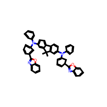 CC1(C)c2cc(N(C3=CC=CC(c4nc5ccccc5o4)C3)c3ccccc3)ccc2-c2ccc(N(c3ccccc3)c3cccc(-c4nc5ccccc5o4)c3)cc21